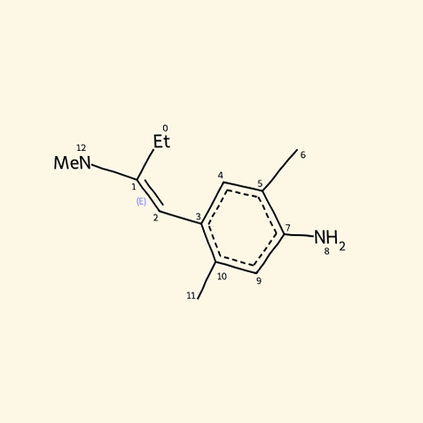 CC/C(=C\c1cc(C)c(N)cc1C)NC